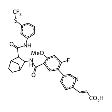 COc1cc(F)c(-c2ccc(/C=C/C(=O)O)nc2)cc1C(=O)NC1C2CCC(C2)C1C(=O)Nc1cccc(SC(F)(F)F)c1